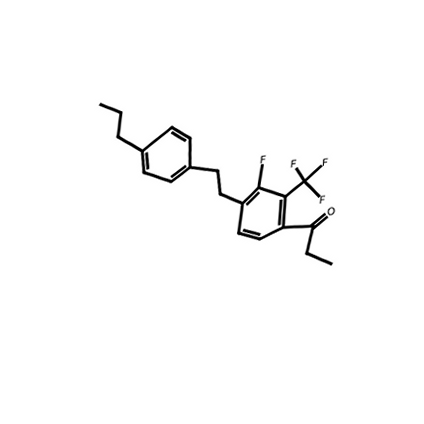 CCCc1ccc(CCc2ccc(C(=O)CC)c(C(F)(F)F)c2F)cc1